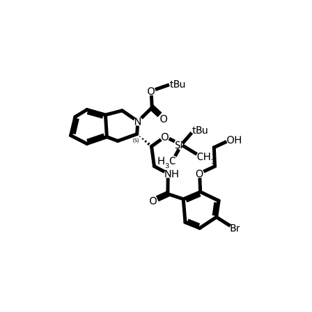 CC(C)(C)OC(=O)N1Cc2ccccc2C[C@H]1C(CNC(=O)c1ccc(Br)cc1OCCO)O[Si](C)(C)C(C)(C)C